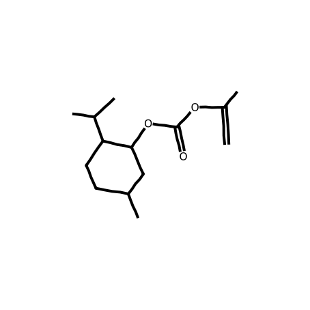 C=C(C)OC(=O)OC1CC(C)CCC1C(C)C